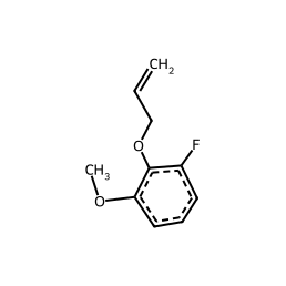 C=CCOc1c(F)cccc1OC